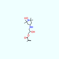 C=C(C)C(=O)OCC(O)CNC1CC(C)(C)N(O)C(C)(C)C1